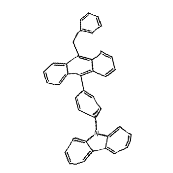 c1ccc(Cc2c3ccccc3c(-c3ccc(-n4c5ccccc5c5ccccc54)cc3)c3ccccc23)cc1